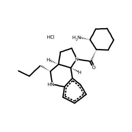 CCC[C@H]1Nc2ccccc2[C@H]2[C@@H]1CCN2C(=O)[C@H]1CCCC[C@H]1N.Cl